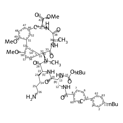 CCCCc1ccc(-c2ccc(C(=O)NC[C@@H](NC(=O)OC(C)(C)C)C(=O)N[C@@H](CCCCN)C(=O)N(C)[C@@H]3C(=O)N[C@@H](C)C(=O)N[C@H](C(=O)OC)Cc4ccc(OC)c(c4)-c4cc3ccc4OC)cc2)cc1